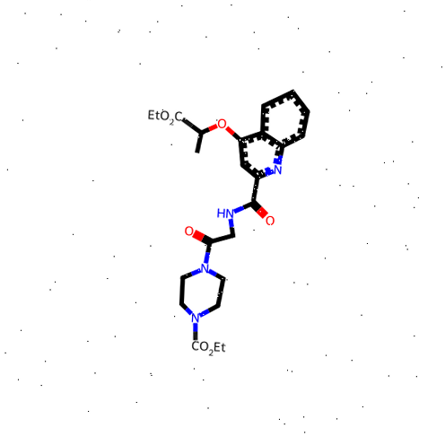 CCOC(=O)C(C)Oc1cc(C(=O)NCC(=O)N2CCN(C(=O)OCC)CC2)nc2ccccc12